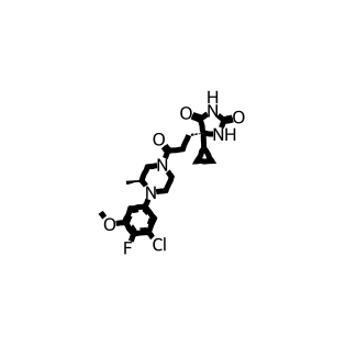 COc1cc(N2CCN(C(=O)CC[C@@]3(C4CC4)NC(=O)NC3=O)C[C@@H]2C)cc(Cl)c1F